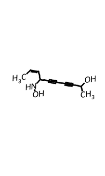 C/C=C\C(C#CC#CC(C)O)NO